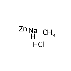 Cl.[CH3].[NaH].[Zn]